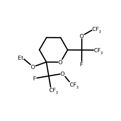 CCOC1(C(F)(OC(F)(F)F)C(F)(F)F)CCCC(C(F)(OC(F)(F)F)C(F)(F)F)O1